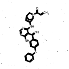 C=CC(=O)N1CC2CC(Nc3ncnc(N)c3C(=N)c3ccc(Sc4ccccc4)cc3)C1C2